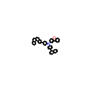 c1ccc2c(-c3ccc(N(c4ccc(-c5ccc6c(ccc7ccc8ccccc8c76)c5)cc4)c4ccc5oc6ccccc6c5c4)cc3)cccc2c1